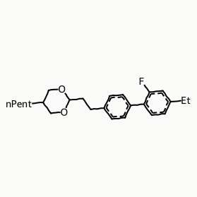 CCCCCC1COC(CCc2ccc(-c3ccc(CC)cc3F)cc2)OC1